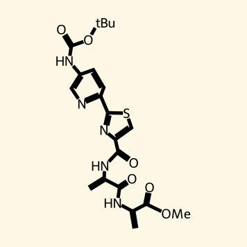 C=C(NC(=O)c1csc(-c2ccc(NC(=O)OC(C)(C)C)cn2)n1)C(=O)NC(=C)C(=O)OC